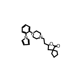 O=C1OC(CCN2CCN(c3ccccc3-n3cccc3)CC2)CC12CCCC2